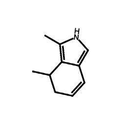 Cc1[nH]cc2c1C(C)CC=C2